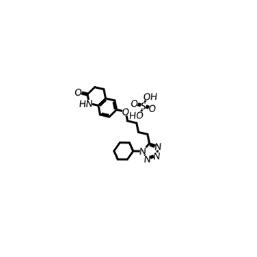 O=C1CCc2cc(OCCCCc3nnnn3C3CCCCC3)ccc2N1.O=S(=O)(O)O